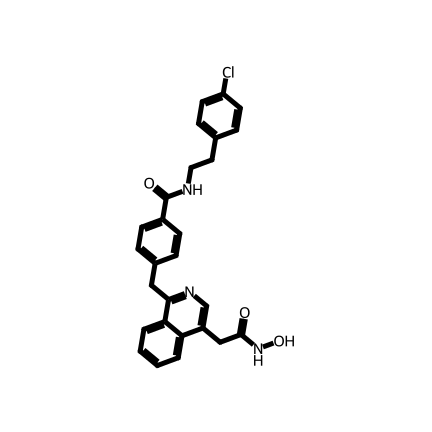 O=C(Cc1cnc(Cc2ccc(C(=O)NCCc3ccc(Cl)cc3)cc2)c2ccccc12)NO